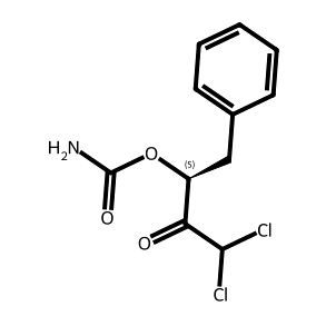 NC(=O)O[C@@H](Cc1ccccc1)C(=O)C(Cl)Cl